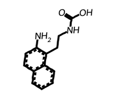 Nc1ccc2ccccc2c1CCNC(=O)O